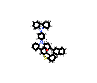 c1ccc(N(c2ccc(-c3ccc4ccccc4c3)cc2)c2ccc(-n3c4ccccc4c4ccccc43)cc2)c(-c2ccc3c(c2)sc2ccccc23)c1